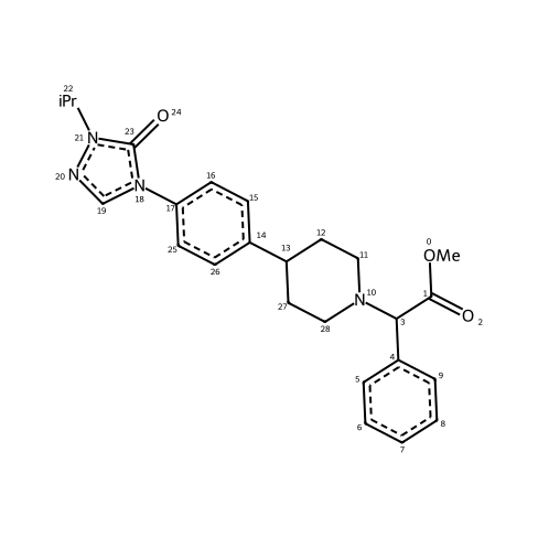 COC(=O)C(c1ccccc1)N1CCC(c2ccc(-n3cnn(C(C)C)c3=O)cc2)CC1